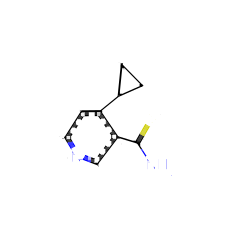 NC(=S)c1cnccc1C1CC1